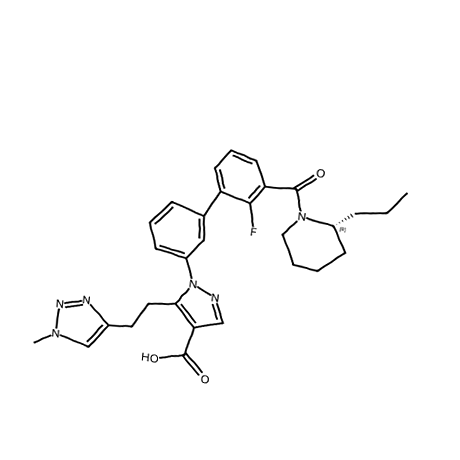 CCC[C@@H]1CCCCN1C(=O)c1cccc(-c2cccc(-n3ncc(C(=O)O)c3CCc3cn(C)nn3)c2)c1F